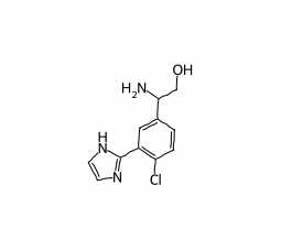 NC(CO)c1ccc(Cl)c(-c2ncc[nH]2)c1